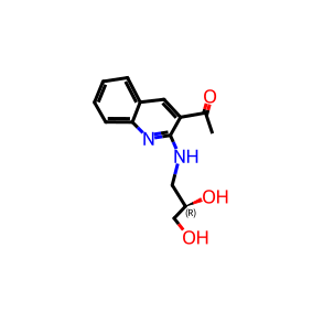 CC(=O)c1cc2ccccc2nc1NC[C@@H](O)CO